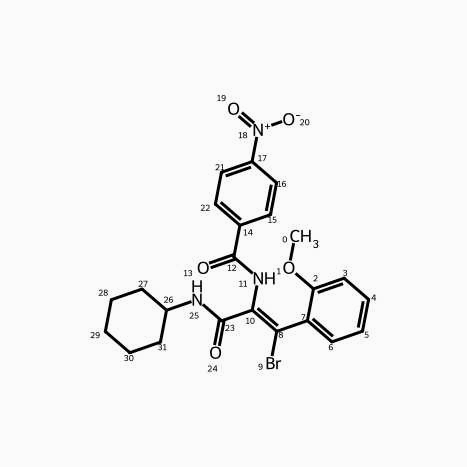 COc1ccccc1C(Br)=C(NC(=O)c1ccc([N+](=O)[O-])cc1)C(=O)NC1CCCCC1